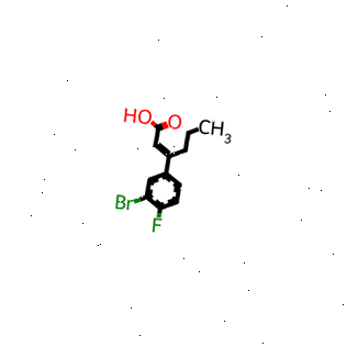 CCCC(=CC(=O)O)c1ccc(F)c(Br)c1